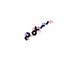 Cc1oc2cc(Oc3ccnc4ccsc34)ccc2c1C(=O)NCCCNCCO